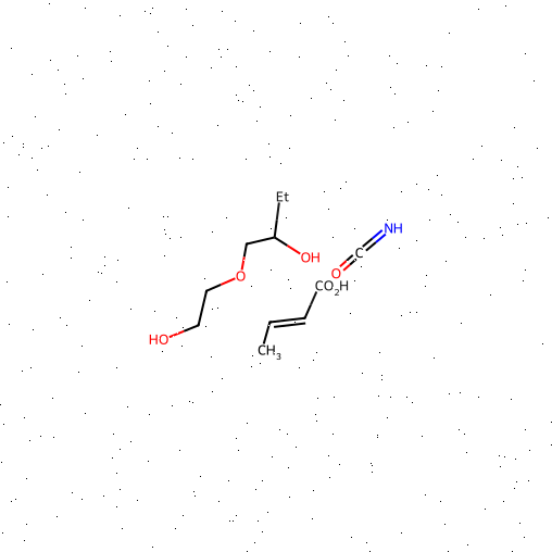 CC=CC(=O)O.CCC(O)COCCO.N=C=O